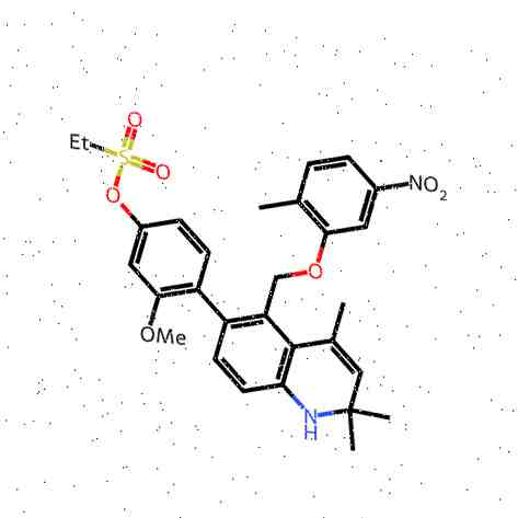 CCS(=O)(=O)Oc1ccc(-c2ccc3c(c2COc2cc([N+](=O)[O-])ccc2C)C(C)=CC(C)(C)N3)c(OC)c1